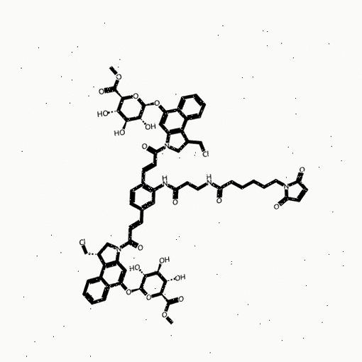 COC(=O)[C@H]1O[C@@H](Oc2cc3c(c4ccccc24)C(CCl)CN3C(=O)/C=C/c2ccc(/C=C/C(=O)N3C[C@@H](CCl)c4c3cc(O[C@@H]3O[C@H](C(=O)OC)[C@@H](O)[C@H](O)[C@H]3O)c3ccccc43)cc2NC(=O)CCNC(=O)CCCCCN2C(=O)C=CC2=O)[C@H](O)[C@@H](O)[C@@H]1O